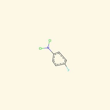 Fc1ccc(N(Cl)Cl)cc1